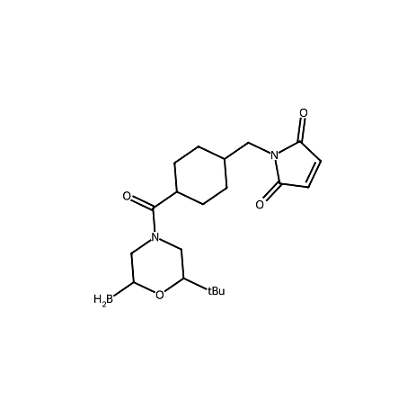 BC1CN(C(=O)C2CCC(CN3C(=O)C=CC3=O)CC2)CC(C(C)(C)C)O1